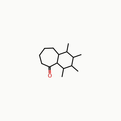 CC1C(C)C(C)C2C(=O)CCCCC2C1C